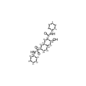 O=C(Nc1ccccc1)c1cc2cc(S(=O)(=O)Nc3ccccc3)ccc2cc1O